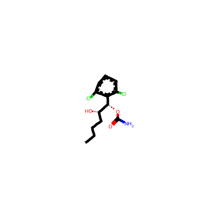 CCCC[C@H](O)[C@@H](OC(N)=O)c1c(Cl)cccc1Cl